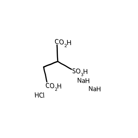 Cl.O=C(O)CC(C(=O)O)S(=O)(=O)O.[NaH].[NaH]